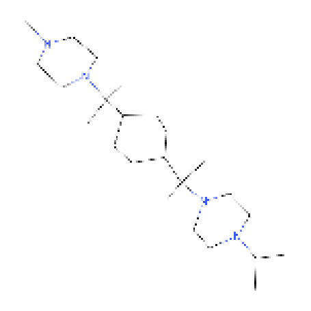 CC(C)N1CCN(C(C)(C)C2CCC(C(C)(C)N3CCN(C)CC3)CC2)CC1